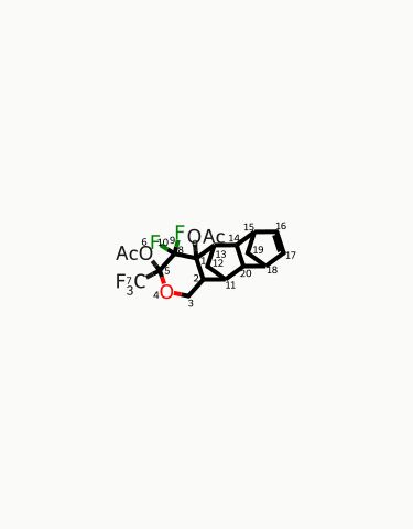 CC(=O)OC12C(COC(OC(C)=O)(C(F)(F)F)C1(F)F)C1CC2C2C3C=CC(C3)C12